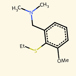 CCSc1c(CN(C)C)cccc1OC